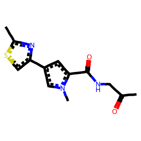 CC(=O)CNC(=O)c1cc(-c2csc(C)n2)cn1C